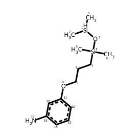 C[SiH](C)O[Si](C)(C)CCCOc1cccc(N)c1